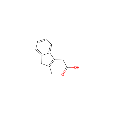 CC1=C(CC(=O)O)c2ccccc2C1